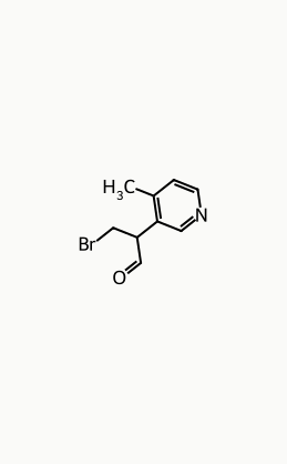 Cc1ccncc1C(C=O)CBr